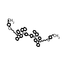 C=Cc1ccc(OCCCCCCC2(c3ccccc3)c3ccccc3-c3ccc(N(c4ccc(-c5ccc(N(c6ccc7c(c6)C(CCCCCCOc6ccc(C=C)cc6)(c6ccccc6)c6ccccc6-7)c6cccc7ccccc67)cc5)cc4)c4cccc5ccccc45)cc32)cc1